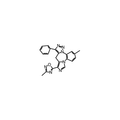 Cc1ccc2c(c1)-n1nnc(-c3ccccc3)c1Cc1c(-c3nc(C)no3)ncn1-2